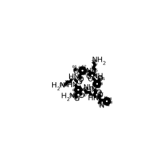 COc1ccc(NC(=O)[C@H](CCCCN)NC(=O)c2cc(NC(=O)[C@H](CCCCN)NC(=O)c3cc(NC(=O)[C@H](CCCCN)NC(=O)C4C=Nc5ccccc54)ccc3OC)ccc2OC)cc1C(N)=O